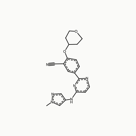 Cn1cc(Nc2ccnc(-c3ccc(OC4CCOCC4)c(C#N)c3)n2)cn1